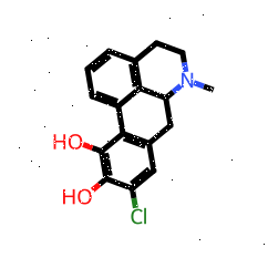 CN1CCc2cccc3c2C1Cc1cc(Cl)c(O)c(O)c1-3